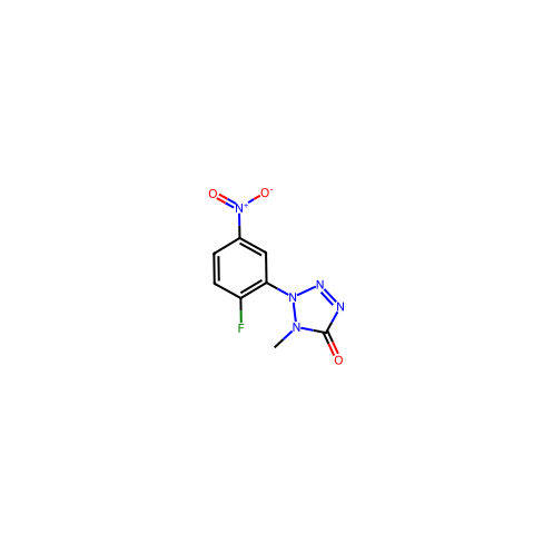 Cn1c(=O)nnn1-c1cc([N+](=O)[O-])ccc1F